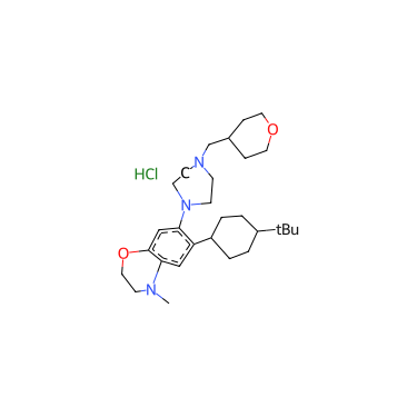 CN1CCOc2cc(N3CCN(CC4CCOCC4)CC3)c(C3CCC(C(C)(C)C)CC3)cc21.Cl